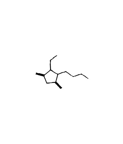 C=C1CC(=C)C(CCCC)C1CC